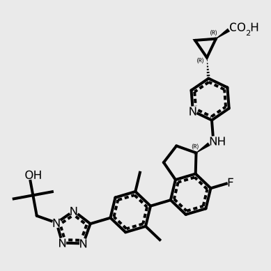 Cc1cc(-c2nnn(CC(C)(C)O)n2)cc(C)c1-c1ccc(F)c2c1CC[C@H]2Nc1ccc([C@@H]2C[C@H]2C(=O)O)cn1